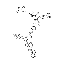 CC(C)[C@@H](NC(=O)CCCCCN1C(=O)C=CC1=O)C(=O)N[C@H](CCCNC(N)O)C(=O)Nc1ccc(COC(=O)O[C@H]2C[C@H](n3ccc4c(N[C@H]5CCc6ccccc65)ncnc43)C[C@H]2COS(N)(=O)=O)cc1